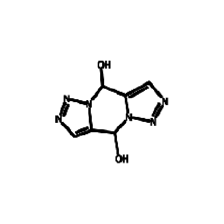 OC1c2cnnn2C(O)c2cnnn21